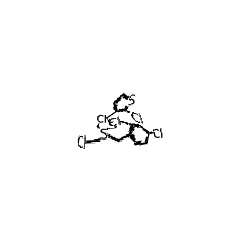 ClCS(CCl)(Cc1ccc(Cl)cc1Cl)SCc1ccsc1Cl